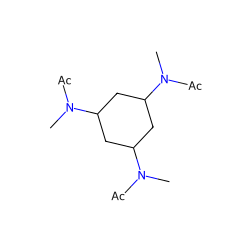 CC(=O)N(C)C1CC(N(C)C(C)=O)CC(N(C)C(C)=O)C1